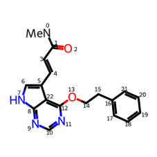 CNC(=O)/C=C/c1c[nH]c2ncnc(OCCc3ccccc3)c12